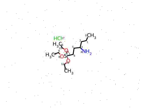 CCCC(N)CC[Si](OCC)(OCC)OCC.Cl